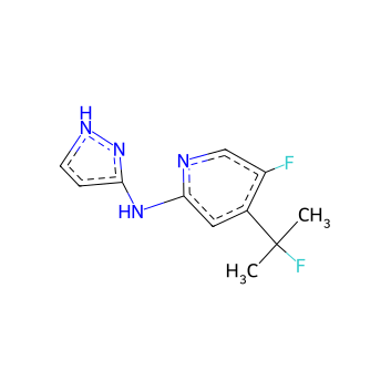 CC(C)(F)c1cc(Nc2cc[nH]n2)ncc1F